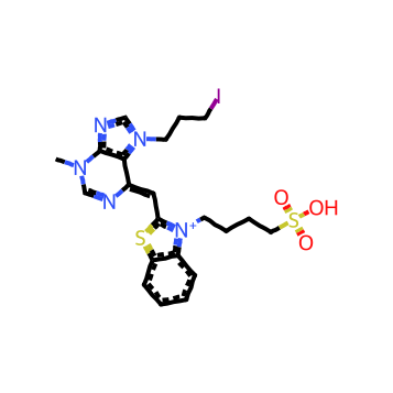 CN1C=N/C(=C\c2sc3ccccc3[n+]2CCCCS(=O)(=O)O)c2c1ncn2CCCI